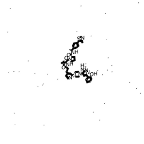 Cc1ncsc1-c1ccc([C@H](C)NC(=O)[C@@H]2CCCN2C(=O)[C@@H](NC(=O)CCc2ccnc(N3CCN(c4cc(-c5ccccc5O)nnc4N)CC3)c2)C(C)(C)C)cc1